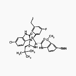 COc1cc(C#N)ccc1NC(=O)[C@@H]1N[C@@H](CC(C)(C)C)[C@@]2(C(=O)Nc3cc(Cl)ccc32)[C@H]1c1cc(F)cc(CI)c1